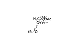 CC[C@H]1O[C@@H](OCCCCC(=O)C(C)(C)C)[C@H](C)[C@@H](OC(C)=O)[C@H]1OC(C)=O